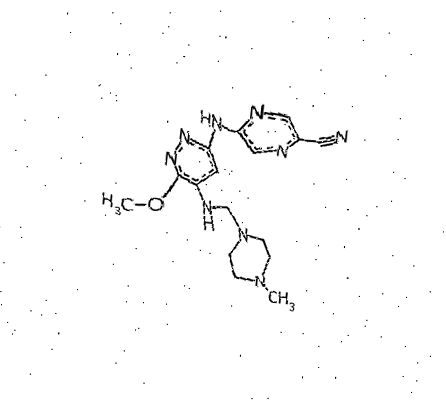 COc1nnc(Nc2cnc(C#N)cn2)cc1NCN1CCN(C)CC1